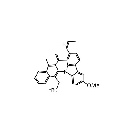 C=c1c2c(C)c3ccccc3c(CC(C)(C)C)c2n2c3ccc(OC)cc3c3ccc(/C=C\C)c1c32